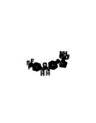 NOC(=O)C1CCCN1Sc1ccc(NC(=O)Nc2ccc(C(F)(F)F)cc2)cc1